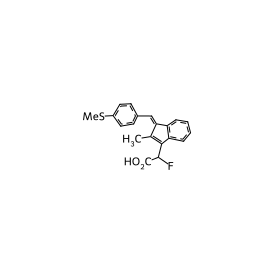 CSc1ccc(C=C2C(C)=C(C(F)C(=O)O)c3ccccc32)cc1